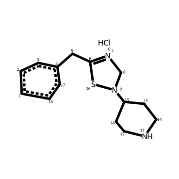 Cl.c1ccc(CC2=NCN(C3CCNCC3)S2)cc1